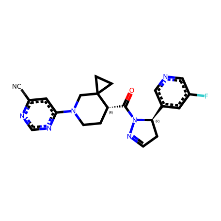 N#Cc1cc(N2CC[C@@H](C(=O)N3N=CC[C@@H]3c3cncc(F)c3)C3(CC3)C2)ncn1